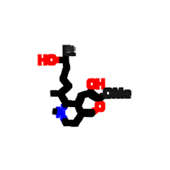 CCC(O)CCCC(C)C1C2=CC(O)=C(OC)OC=C2CCN1C